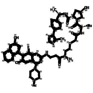 CC(=O)N1CCN(c2nc(NCCC(=O)N(C)CCOCC(=O)N[C@H](C(=O)N3C[C@H](O)C[C@H]3C(=O)N[C@@H](C)c3ccc(-c4scnc4C)cc3)C(C)(C)C)nc3c(F)c(-c4cc(O)cc5ccccc45)c(Cl)cc23)CC1